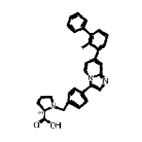 Cc1c(-c2ccccc2)cccc1-c1ccn2c(-c3ccc(CN4CCC[C@@H]4C(=O)O)cc3)cnc2c1